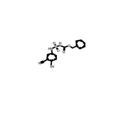 N#Cc1cc(NS(=O)(=O)NC(=O)OCc2ccccc2)ccc1S